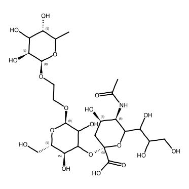 CC(=O)N[C@H]1C(C(O)C(O)CO)O[C@@](OC2C(O)[C@H](OCCO[C@@H]3OC(C)[C@@H](O)C(O)[C@@H]3O)O[C@@H](CO)[C@@H]2O)(C(=O)O)C[C@H]1O